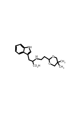 CC1(C)COC(CCNC(Cc2c[nH]c3ccccc23)C(=O)O)OC1